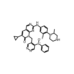 CC1CNCCN1c1ccc(Nc2ncc3cc(C4CC4)c(=O)n(Cc4cnncc4[S+]([O-])c4ccccc4)c3n2)cc1F